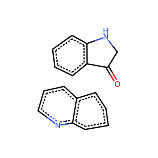 O=C1CNc2ccccc21.c1ccc2ncccc2c1